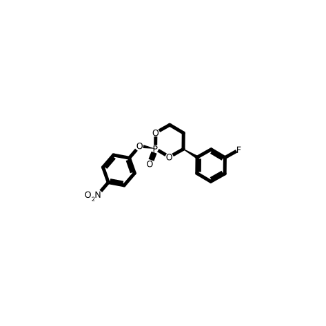 O=[N+]([O-])c1ccc(O[P@@]2(=O)OCC[C@@H](c3cccc(F)c3)O2)cc1